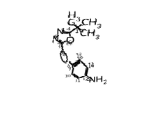 CC(C)(C)c1nnc(Oc2ccc(N)cc2)o1